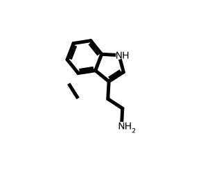 CC.NCCc1c[nH]c2ccccc12